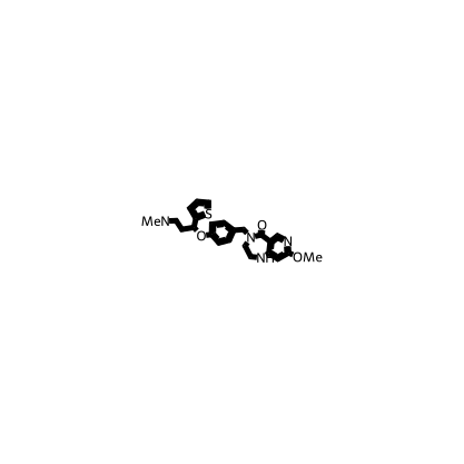 CNCCC(Oc1ccc(CN2CCNc3cc(OC)ncc3C2=O)cc1)c1cccs1